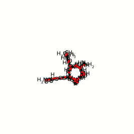 CC(C)(C)OC(=O)NOCC(=O)NCCCC[C@@H]1NC(=O)CSC[C@@H](C(=O)NCCOCCOCCOCCNC(=O)COCC(N)=O)NC(=O)[C@H](Cc2ccccc2)NC(=O)[C@H](CS)NC(=O)[C@H](CC(=O)O)NC(=O)CNC(=O)[C@H](CCCNC(=N)N)NC(=O)[C@H](CS)NC1=O